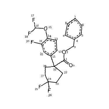 O=C(OCc1ccccc1)C1(c2ccc(OC(F)F)c(F)c2)CCC(F)(F)CC1